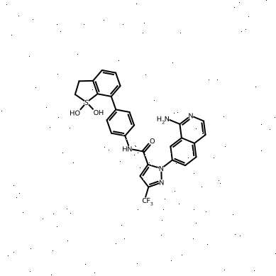 Nc1nccc2ccc(-n3nc(C(F)(F)F)cc3C(=O)Nc3ccc(-c4cccc5c4S(O)(O)CC5)cc3)cc12